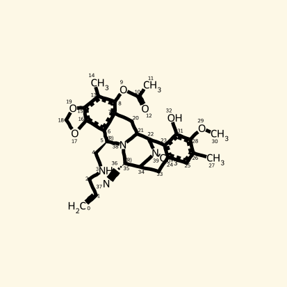 C=CCNC[C@H]1c2c(c(OC(C)=O)c(C)c3c2OCO3)CC2C3c4c(cc(C)c(OC)c4O)CC([C@H](C#N)N21)N3C